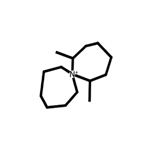 CC1CCCCC(C)[N+]12CCCCCC2